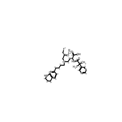 CO[C@H](CF)CN(CCCCc1ccc2c(n1)NCCC2)CC[C@H](NC(=O)C(C)(C)c1cncnc1)C(=O)O